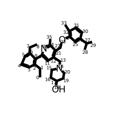 CCc1cccc(CC)c1-c1cc(CN2CCC(O)CC2)c(COc2cc(C(C)C)ccc2C)c(C)n1